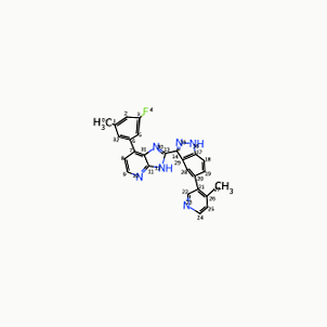 Cc1cc(F)cc(-c2ccnc3[nH]c(-c4n[nH]c5ccc(-c6cnccc6C)cc45)nc23)c1